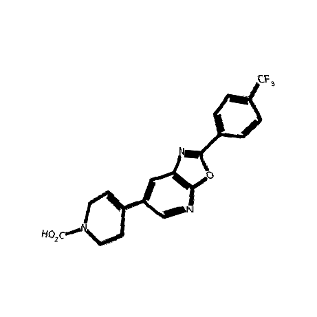 O=C(O)N1CC=C(c2cnc3oc(-c4ccc(C(F)(F)F)cc4)nc3c2)CC1